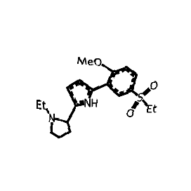 CCN1CCCC1c1ccc(-c2cc(S(=O)(=O)CC)ccc2OC)[nH]1